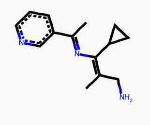 C/C(=N\C(=C(/C)CN)C1CC1)c1cccnc1